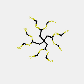 SCSC(CC(CC(SCS)SCS)(CC(SCS)SCS)CC(SCS)SCS)SCS